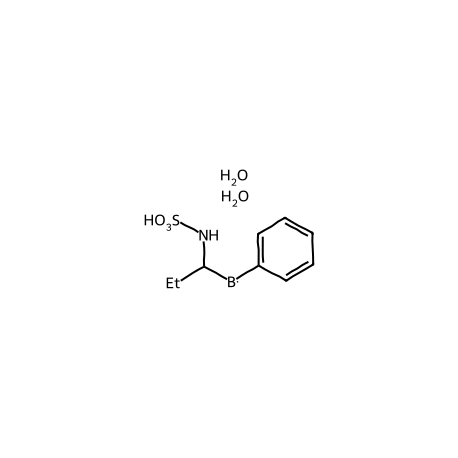 CCC([B]c1ccccc1)NS(=O)(=O)O.O.O